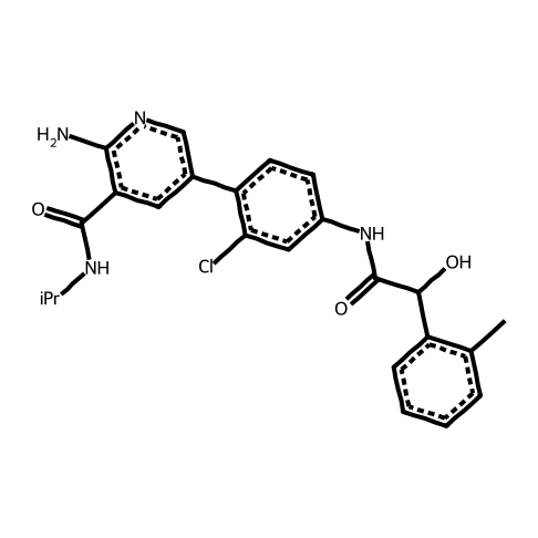 Cc1ccccc1C(O)C(=O)Nc1ccc(-c2cnc(N)c(C(=O)NC(C)C)c2)c(Cl)c1